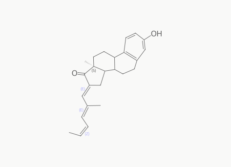 C\C=C/C=C(C)/C=C1\CC2C3CCc4cc(O)ccc4C3CC[C@]2(C)C1=O